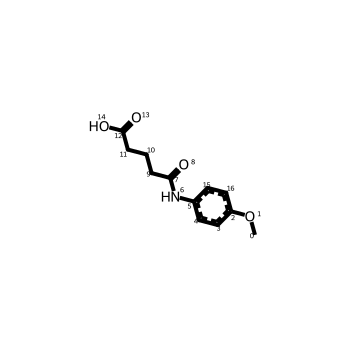 COc1ccc(NC(=O)CCCC(=O)O)cc1